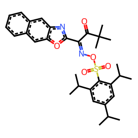 CC(C)c1cc(C(C)C)c(S(=O)(=O)O/N=C(\C(=O)C(C)(C)C)c2nc3cc4ccccc4cc3o2)c(C(C)C)c1